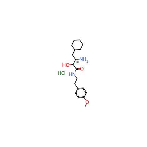 COc1ccc(CCNC(=O)C(O)[C@H](N)CC2CCCCC2)cc1.Cl